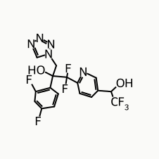 OC(c1ccc(C(F)(F)C(O)(Cn2cnnn2)c2ccc(F)cc2F)nc1)C(F)(F)F